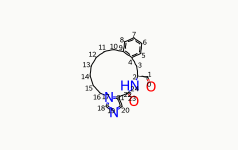 O=C[C@@H]1Cc2ccccc2CCCCCCCn2cncc2C(=O)N1